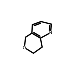 [c]1ccnc2c1COCC2